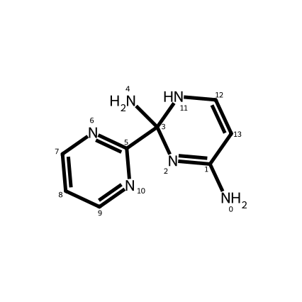 NC1=NC(N)(c2ncccn2)NC=C1